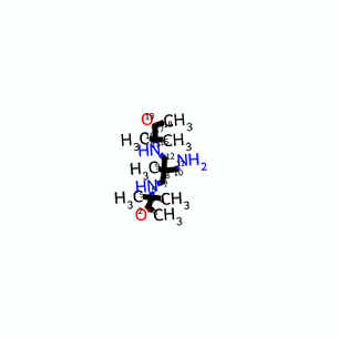 CC(=O)C(C)(C)NCC(C)(CN)CNC(C)(C)C(C)=O